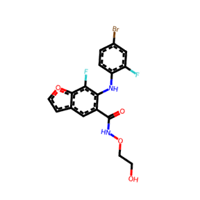 O=C(NOCCO)c1cc2ccoc2c(F)c1Nc1ccc(Br)cc1F